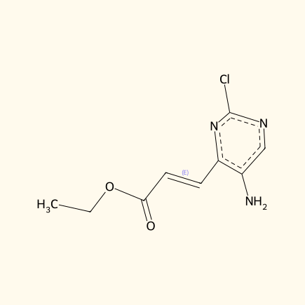 CCOC(=O)/C=C/c1nc(Cl)ncc1N